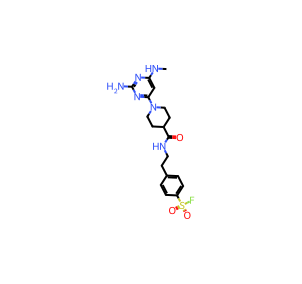 CNc1cc(N2CCC(C(=O)NCCc3ccc(S(=O)(=O)F)cc3)CC2)nc(N)n1